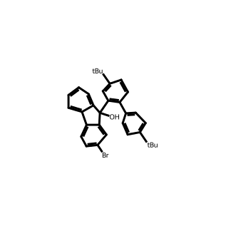 CC(C)(C)c1ccc(-c2ccc(C(C)(C)C)cc2C2(O)c3ccccc3-c3ccc(Br)cc32)cc1